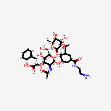 CCC1CC(C(=O)NCCN)C[C@@H](O[C@@H]2O[C@@H](CO)[C@H](O)C(O[C@@H](CC3CCCCC3)C(=O)O)C2NC(C)=O)[C@@H]1OC1O[C@@H](C)C(O)[C@H](O)[C@@H]1O